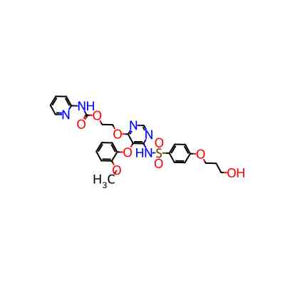 COc1ccccc1Oc1c(NS(=O)(=O)c2ccc(OCCCO)cc2)ncnc1OCCOC(=O)Nc1ccccn1